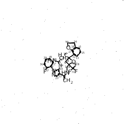 C=C(NCC1(C(F)(F)F)CC(C)(c2cccc3c2OCC3)O1)c1cnn(-c2ccccc2F)c1/N=C(/C)N